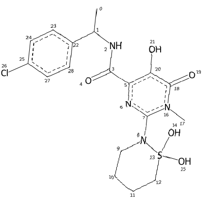 CC(NC(=O)c1nc(N2CCCCS2(O)O)n(C)c(=O)c1O)c1ccc(Cl)cc1